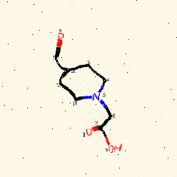 O=CC1CCN(CC(=O)O)CC1